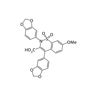 COc1ccc2c(c1)S(=O)(=O)N(c1ccc3c(c1)OCO3)C(C(=O)O)=C2c1ccc2c(c1)OCO2